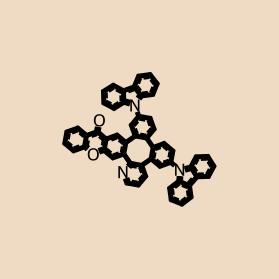 O=c1c2ccccc2oc2cc3c(cc12)-c1cc(-n2c4ccccc4c4ccccc42)ccc1-c1ccc(-n2c4ccccc4c4ccccc42)cc1-c1cccnc1-3